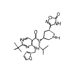 CC(C)CN(C(=O)c1cnc(C(C)(C)C)nc1NCc1ccco1)[C@@H]1CNC[C@H](c2noc(=O)[nH]2)C1